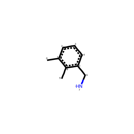 Cc1cccc(C[NH])c1C